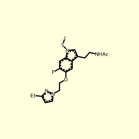 CCc1ccn(CCOc2cc3c(CCNC(C)=O)cn(SI)c3cc2F)n1